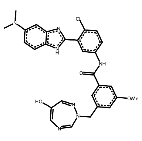 COc1cc(CN2C=NC=C(O)C=N2)cc(C(=O)Nc2ccc(Cl)c(-c3nc4cc(N(C)C)ccc4[nH]3)c2)c1